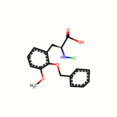 COc1cccc(C[C@H](NCl)C(=O)O)c1OCc1ccccc1